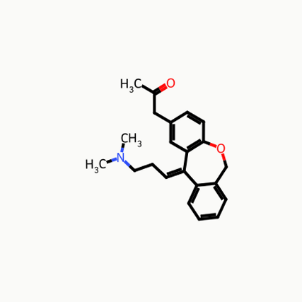 CC(=O)Cc1ccc2c(c1)C(=CCCN(C)C)c1ccccc1CO2